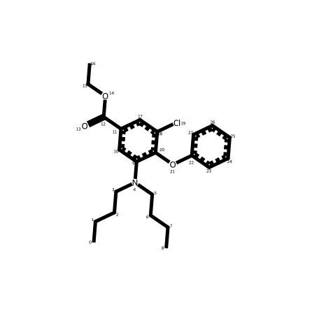 CCCCN(CCCC)c1cc(C(=O)OCC)cc(Cl)c1Oc1ccccc1